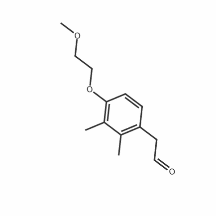 COCCOc1ccc(CC=O)c(C)c1C